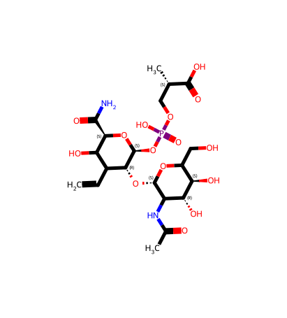 C=CC1C(O)[C@@H](C(N)=O)O[C@@H](OP(=O)(O)OC[C@H](C)C(=O)O)[C@@H]1O[C@@H]1OC(CO)[C@@H](O)[C@H](O)C1NC(C)=O